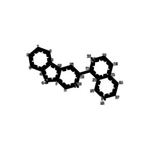 c1ccc2c(c1)sc1cnc(-c3nccc4ccncc34)cc12